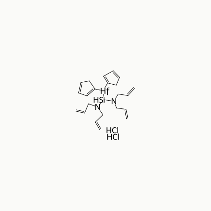 C=CCN(CC=C)[SiH](N(CC=C)CC=C)[Hf]([C]1=CC=CC1)[C]1=CC=CC1.Cl.Cl